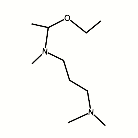 CCOC(C)N(C)CCCN(C)C